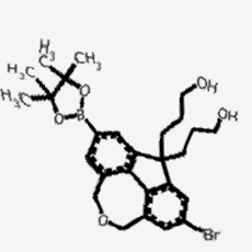 CC1(C)OB(c2cc3c4c(c2)C(CCCO)(CCCO)c2cc(Br)cc(c2-4)COC3)OC1(C)C